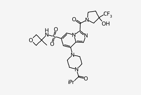 CC(C)C(=O)N1CCN(c2cc(S(=O)(=O)NC3(C)COC3)cn3c(C(=O)N4CCC(O)(C(F)(F)F)C4)ncc23)CC1